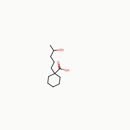 CC(O)CCCC1(C(=O)O)CC[CH]CC1